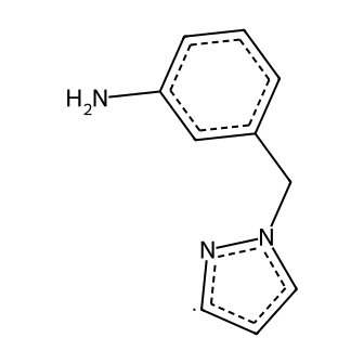 Nc1cccc(Cn2cc[c]n2)c1